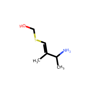 C/C(=C\SCO)C(C)N